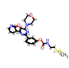 CSSCCNC(=O)Oc1cccc(-c2nc(N3CCOCC3)c3oc4ncccc4c3n2)c1